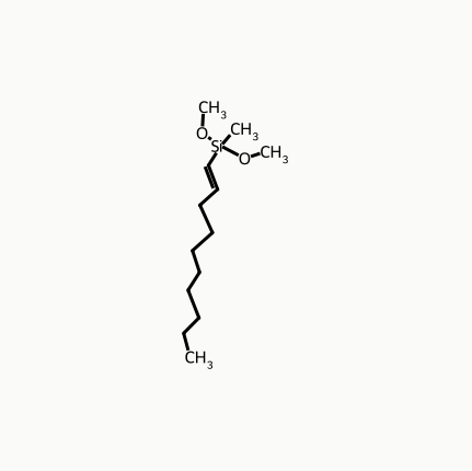 CCCCCCCCC=C[Si](C)(OC)OC